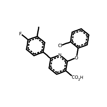 Cc1cc(-c2ccc(C(=O)O)c(Oc3ccccc3Cl)n2)ccc1F